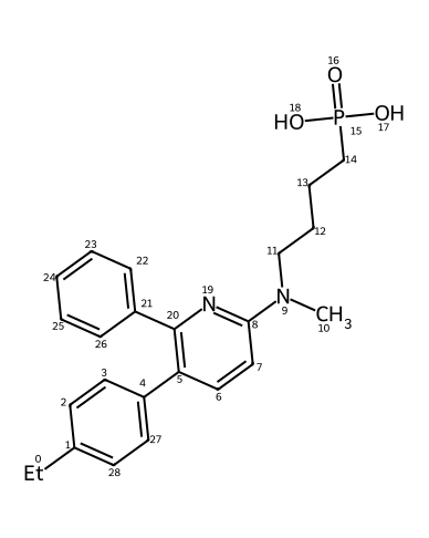 CCc1ccc(-c2ccc(N(C)CCCCP(=O)(O)O)nc2-c2ccccc2)cc1